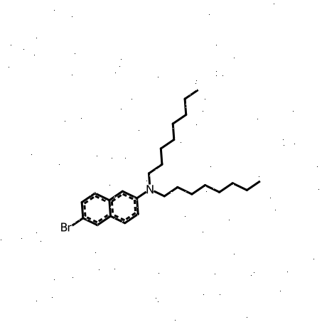 CCCCCCCCN(CCCCCCCC)c1ccc2cc(Br)ccc2c1